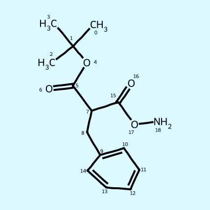 CC(C)(C)OC(=O)C(Cc1ccccc1)C(=O)ON